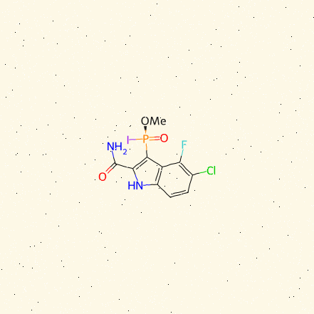 CO[P@](=O)(I)c1c(C(N)=O)[nH]c2ccc(Cl)c(F)c12